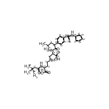 CC(C)CC(C(=O)NC(CNCCC(NC(=O)CC(C)(C)C)C(=O)O)C(=O)O)c1ccc(NC(=S)Nc2ccccc2)cc1